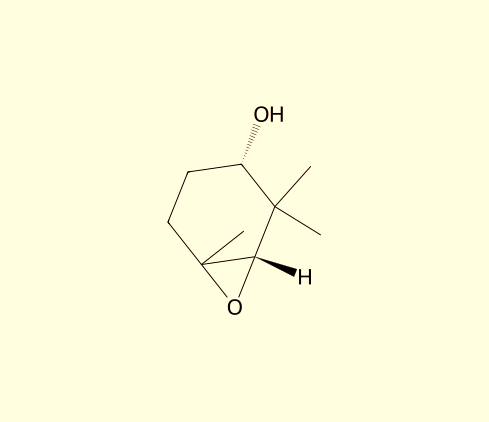 CC12CC[C@H](O)C(C)(C)[C@@H]1O2